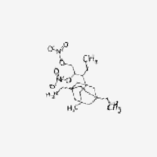 CCC(C(CO[N+](=O)[O-])O[N+](=O)[O-])C12CC3(C)CC(CC)(CC(CN)(C3)C1)C2